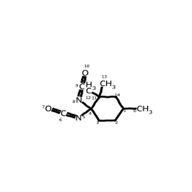 CC1CCC(N=C=O)(N=C=O)C(C)(C)C1